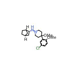 COc1ccc(Cl)cc1C1(OC)CCN(N[C@H]2C[C@H]3CC[C@H]2C3)CC1